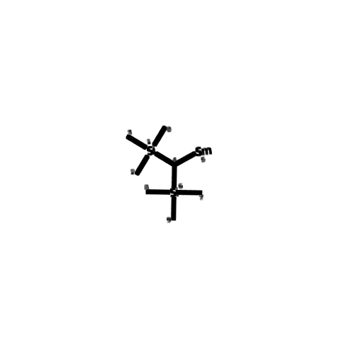 C[Si](C)(C)[CH]([Sm])[Si](C)(C)C